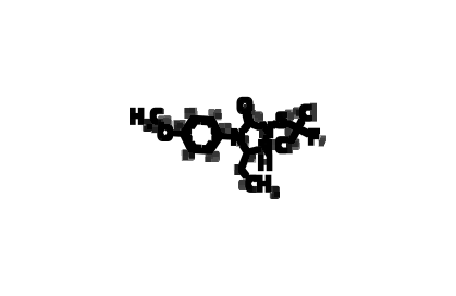 CCC1NN(SC(F)(Cl)Cl)C(=O)N1c1ccc(OC)cc1